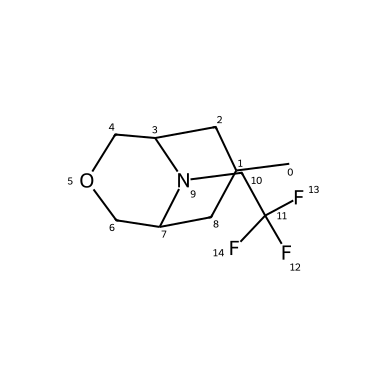 CC1CC2COCC(C1)N2CC(F)(F)F